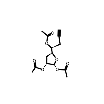 C#CC[C@H](OC(C)=O)[C@@H]1C[C@@H](OC(C)=O)[C@@H](OC(C)=O)O1